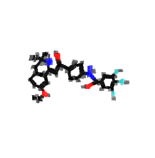 COc1ccc2c(c1)C(=CC(=O)c1ccc(NC(=O)c3cc(F)c(F)c(F)c3)cc1)NC(C)(C)C2